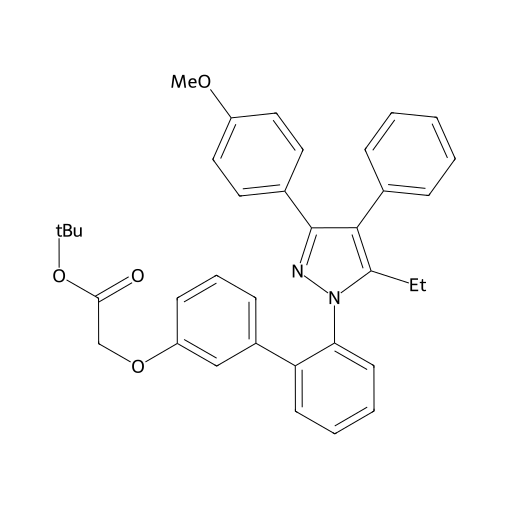 CCc1c(-c2ccccc2)c(-c2ccc(OC)cc2)nn1-c1ccccc1-c1cccc(OCC(=O)OC(C)(C)C)c1